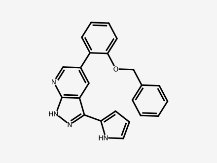 c1ccc(COc2ccccc2-c2cnc3[nH]nc(-c4ccc[nH]4)c3c2)cc1